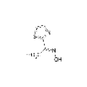 CCOC(=O)C(=NO)c1nccs1